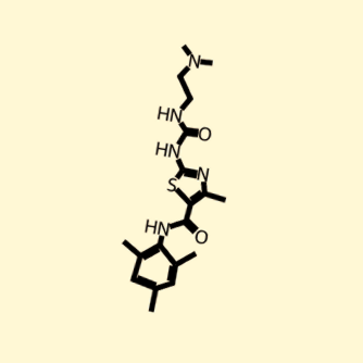 Cc1cc(C)c(NC(=O)c2sc(NC(=O)NCCN(C)C)nc2C)c(C)c1